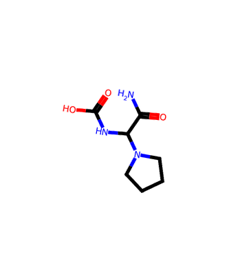 NC(=O)C(NC(=O)O)N1CCCC1